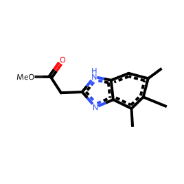 COC(=O)Cc1nc2c(C)c(C)c(C)cc2[nH]1